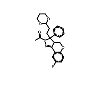 CC(=O)N1N=C2c3cc(F)ccc3OCC2C1(CCC1OCCCO1)c1ccccc1